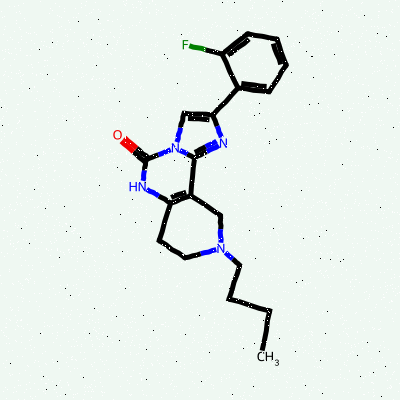 CCCCN1CCc2[nH]c(=O)n3cc(-c4ccccc4F)nc3c2C1